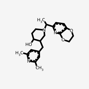 Cc1cc(CC2CN(C(C)c3ccc4c(n3)OCCO4)CCC2O)cc(C)n1